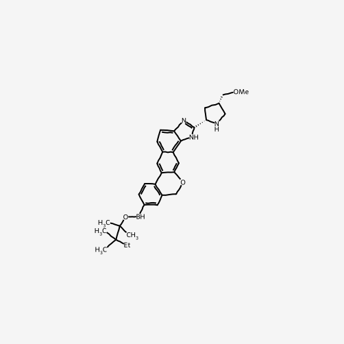 CCC(C)(C)C(C)(C)OBc1ccc2c(c1)COc1cc3c(ccc4nc([C@@H]5C[C@H](COC)CN5)[nH]c43)cc1-2